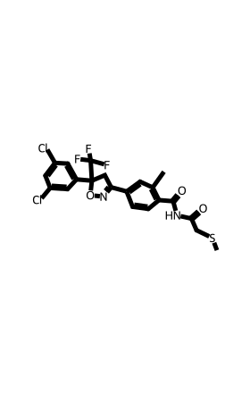 CSCC(=O)NC(=O)c1ccc(C2=NOC(c3cc(Cl)cc(Cl)c3)(C(F)(F)F)C2)cc1C